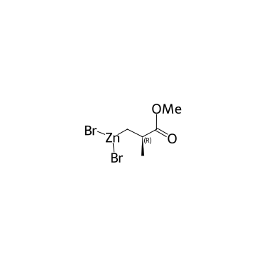 COC(=O)[C@@H](C)[CH2][Zn]([Br])[Br]